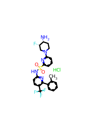 Cc1ccccc1-c1nc(NS(=O)(=O)c2cccc(N3CC[C@@H](N)[C@@H](F)C3)n2)ccc1C(F)(F)F.Cl